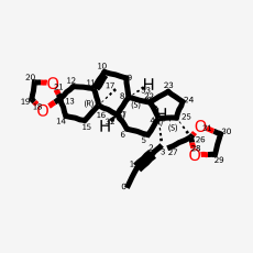 CC#CC[C@]12CC[C@H]3[C@@H](CC=C4CC5(CC[C@@]43C)OCCO5)[C@@H]1CC[C@@H]2C1(C)OCCO1